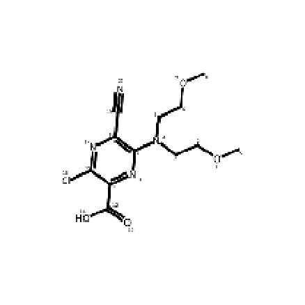 COCCN(CCOC)c1nc(C(=O)O)c(Cl)nc1C#N